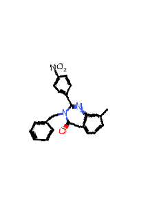 Cc1cccc2c(=O)n(Cc3ccccc3)c(-c3ccc([N+](=O)[O-])cc3)nc12